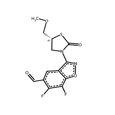 COC[C@H]1CN(c2noc3c(F)c(F)c(C=O)cc23)C(=O)S1